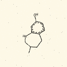 CC1CCc2ccc(O)cc2NC1